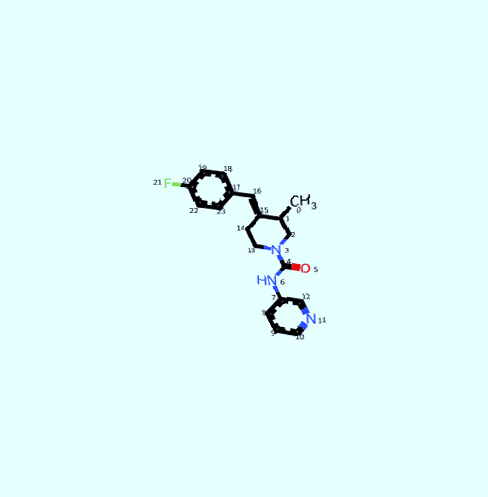 CC1CN(C(=O)Nc2cccnc2)CCC1=Cc1ccc(F)cc1